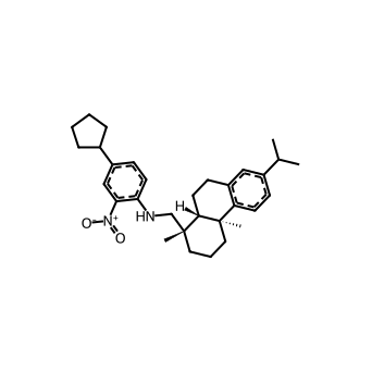 CC(C)c1ccc2c(c1)CC[C@H]1[C@@](C)(CNc3ccc(C4CCCC4)cc3[N+](=O)[O-])CCC[C@]21C